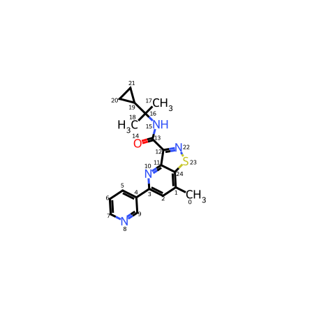 Cc1cc(-c2cccnc2)nc2c(C(=O)NC(C)(C)C3CC3)nsc12